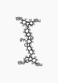 CC(C)c1c2oc3cc4cc(-n5c6ccc(C(C)(C)C)cc6c6cc(C(C)(C)C)ccc65)ccc4cc3c2cc2oc3cc4cc(-n5c6ccc(C(C)(C)C)cc6c6cc(C(C)(C)C)ccc65)ccc4cc3c12